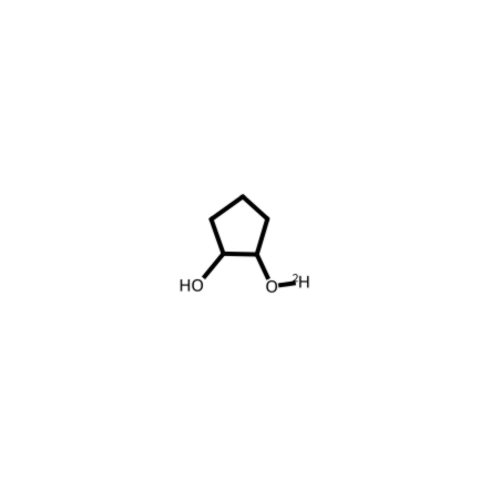 [2H]OC1CCCC1O